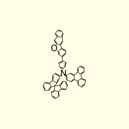 c1ccc2c(c1)-c1ccccc1C21c2ccccc2-c2ccc(N(c3ccc(-c4ccc5c(c4)oc4cc6ccccc6cc45)cc3)c3ccc4c5ccccc5c5ccccc5c4c3)cc21